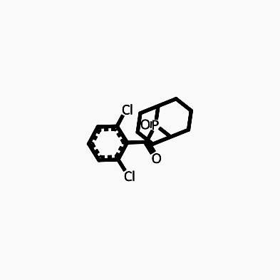 O=C(c1c(Cl)cccc1Cl)P1(=O)C2CCCC1CCC2